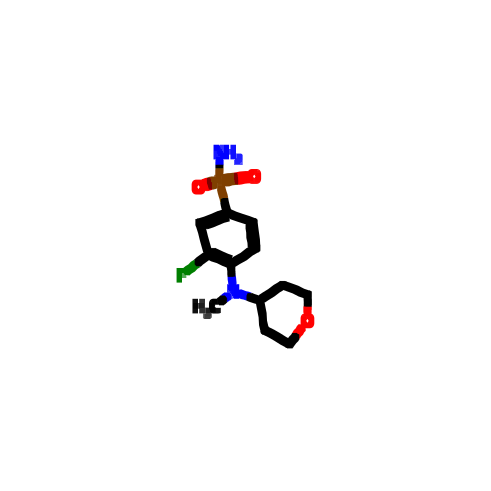 CN(c1ccc(S(N)(=O)=O)cc1F)C1CCOCC1